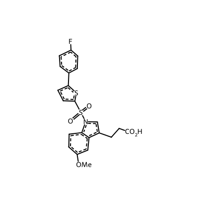 COc1ccc2c(c1)c(CCC(=O)O)cn2S(=O)(=O)c1ccc(-c2ccc(F)cc2)s1